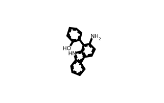 Nc1ccc2c([nH]c3ccccc32)c1-c1ccccc1O